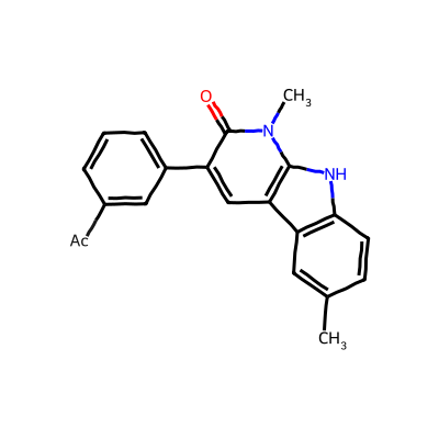 CC(=O)c1cccc(-c2cc3c4cc(C)ccc4[nH]c3n(C)c2=O)c1